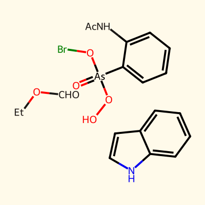 CC(=O)Nc1ccccc1[As](=O)(OO)OBr.CCOC=O.c1ccc2[nH]ccc2c1